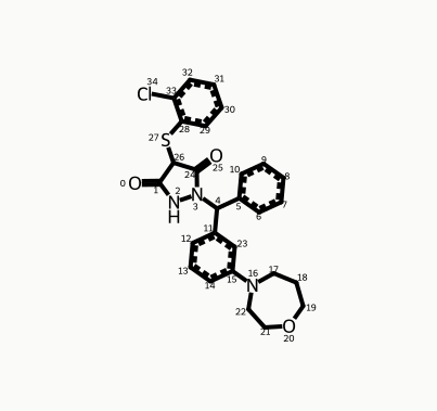 O=C1NN(C(c2ccccc2)c2cccc(N3CCCOCC3)c2)C(=O)C1Sc1ccccc1Cl